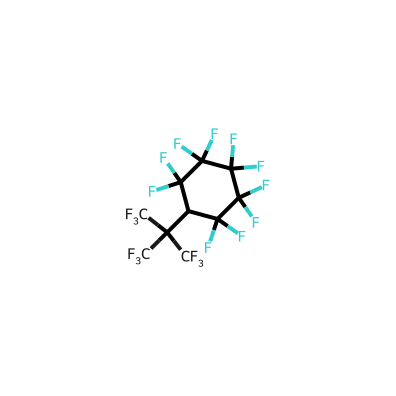 FC(F)(F)C(C1C(F)(F)C(F)(F)C(F)(F)C(F)(F)C1(F)F)(C(F)(F)F)C(F)(F)F